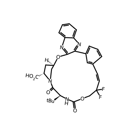 CC(C)(C)[C@@H]1NC(=O)OCC(F)(F)/C=C/c2cccc(c2)-c2nc3ccccc3nc2O[C@@H]2C[C@@H](C(=O)O)N(C2)C1=O